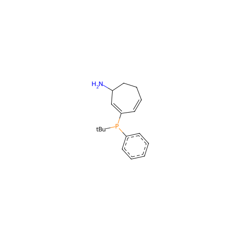 CC(C)(C)P(C1=CC(N)CCC=C1)c1ccccc1